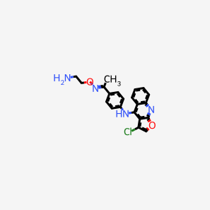 CC(=NOCCN)c1ccc(Nc2c3ccccc3nc3occ(Cl)c23)cc1